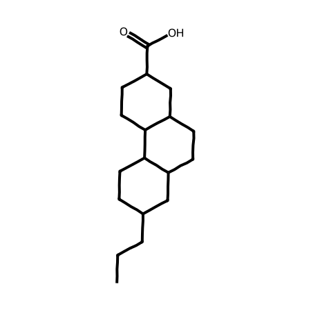 CCCC1CCC2C(CCC3CC(C(=O)O)CCC32)C1